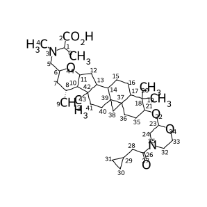 CC(C(=O)O)N(C)CC1C[C@@H](C)C2C(CC3C4CCC5C(C)(C)C(OC6CN(C(=O)CC7CC7)CCO6)CCC56CC46CCC32C)O1